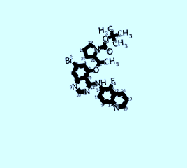 CC(Oc1cc(Br)cc2ncnc(Nc3ccc4ncccc4c3F)c12)C1CCCN1C(=O)OC(C)(C)C